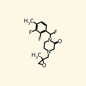 Cc1ccc(C(F)N2CCN(CC3(C)CO3)CC2=O)c(F)c1F